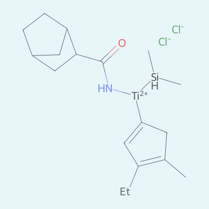 CCC1=C(C)C[C]([Ti+2]([NH]C(=O)C2CC3CCC2C3)[SiH](C)C)=C1.[Cl-].[Cl-]